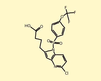 O=C(O)CCCc1cc2nc(Cl)ccc2n1S(=O)(=O)c1ccc(OC(F)(F)F)cc1